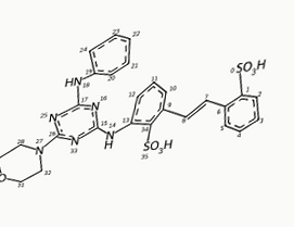 O=S(=O)(O)c1ccccc1C=Cc1cccc(Nc2nc(Nc3ccccc3)nc(N3CCOCC3)n2)c1S(=O)(=O)O